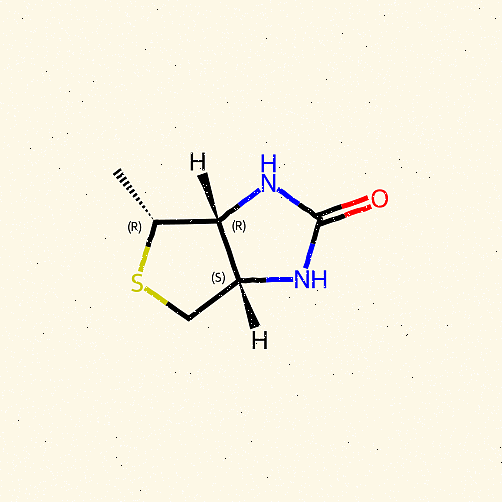 C[C@H]1SC[C@H]2NC(=O)N[C@H]21